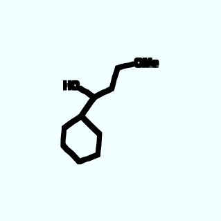 COCCC(O)C1CCCCC1